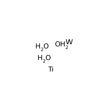 O.O.O.[Ti].[W]